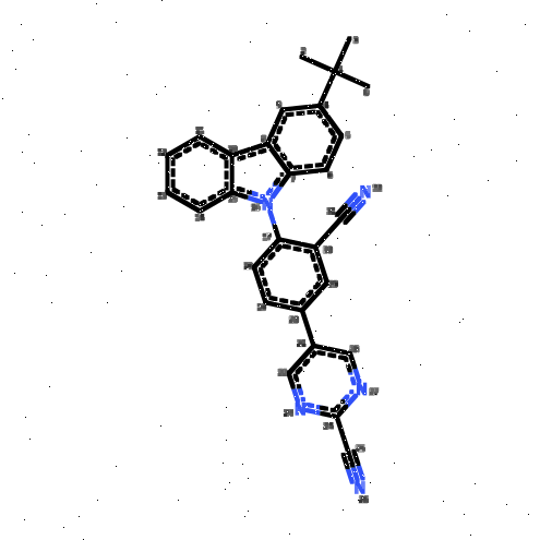 CC(C)(C)c1ccc2c(c1)c1ccccc1n2-c1ccc(-c2cnc(C#N)nc2)cc1C#N